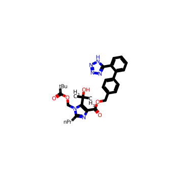 CCCc1nc(C(=O)OCc2ccc(-c3ccccc3-c3nnn[nH]3)cc2)c(C(C)(C)O)n1COC(=O)C(C)(C)C